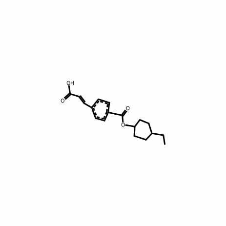 CCC1CCC(OC(=O)c2ccc(C=CC(=O)O)cc2)CC1